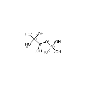 OC(O[Si](O)(O)O)C(O)(O)O